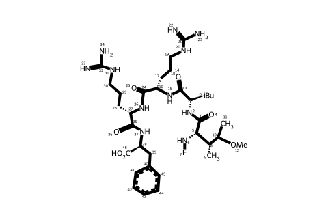 CC[C@H](C)[C@H](NC(=O)[C@@H](NF)[C@@H](C)C(C)OC)C(=O)N[C@@H](CCCNC(=N)N)C(=O)N[C@@H](CCCNC(=N)N)C(=O)N[C@@H](Cc1ccccc1)C(=O)O